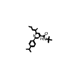 CC/C=C(\C)c1cc(C(=O)NC(C)(C)C)cc(-c2ccc(C(C)C)cc2)n1